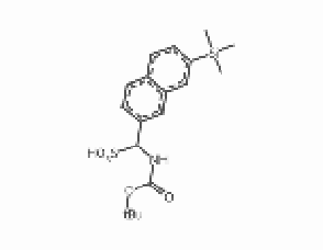 CC(C)(C)OC(=O)NC(c1ccc2ccc([Si](C)(C)C)cc2c1)S(=O)(=O)O